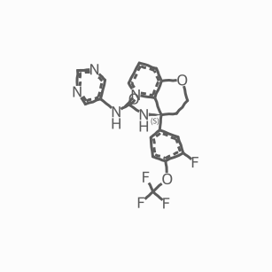 O=C(Nc1cncnc1)N[C@]1(c2ccc(OC(F)(F)F)c(F)c2)CCOc2cccnc21